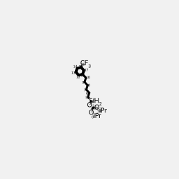 CC(C)OC(O[SiH2]CCCCCCc1cccc(C(F)(F)F)c1)OC(C)C